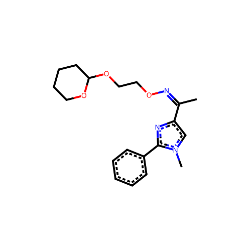 CC(=NOCCOC1CCCCO1)c1cn(C)c(-c2ccccc2)n1